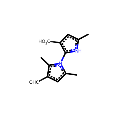 Cc1cc(C(=O)O)c(-n2c(C)cc(C=O)c2C)[nH]1